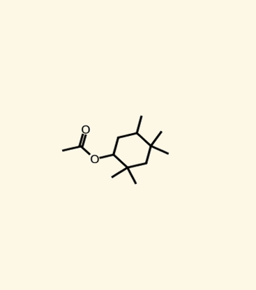 CC(=O)OC1CC(C)C(C)(C)CC1(C)C